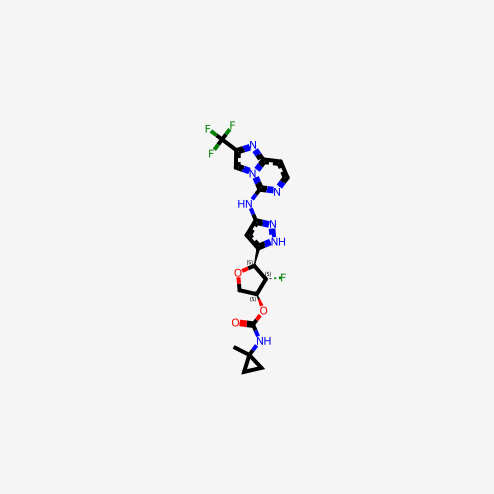 CC1(NC(=O)O[C@H]2CO[C@@H](c3cc(Nc4nccc5nc(C(F)(F)F)cn45)n[nH]3)[C@@H]2F)CC1